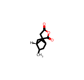 CC1CC2C[C@H]1CC21CC(=O)OC1=O